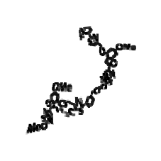 COc1cc(OCc2nc(-c3cccc(COCOc4nn5cc(-c6cc7c(OCc8csc(-c9cccnc9F)n8)cc(OC)cc7o6)nc5s4)c3)sc2C)c2cc(-c3cn4nc(OC)sc4n3)oc2c1